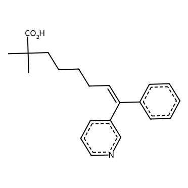 CC(C)(CCCC/C=C(/c1ccccc1)c1cccnc1)C(=O)O